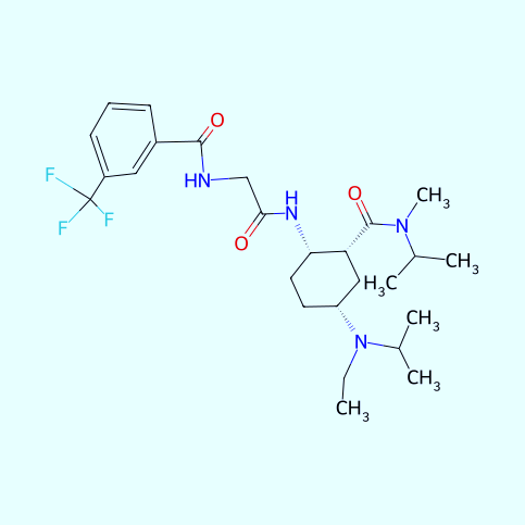 CCN(C(C)C)[C@@H]1CC[C@H](NC(=O)CNC(=O)c2cccc(C(F)(F)F)c2)[C@H](C(=O)N(C)C(C)C)C1